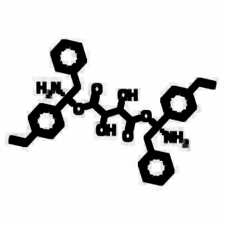 C=Cc1ccc([C@@](N)(Cc2ccccc2)OC(=O)C(O)C(O)C(=O)O[C@](N)(Cc2ccccc2)c2ccc(C=C)cc2)cc1